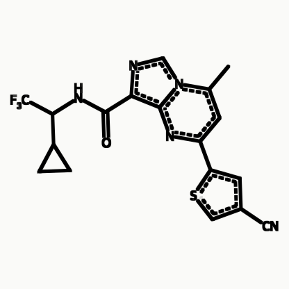 Cc1cc(-c2cc(C#N)cs2)nc2c(C(=O)NC(C3CC3)C(F)(F)F)ncn12